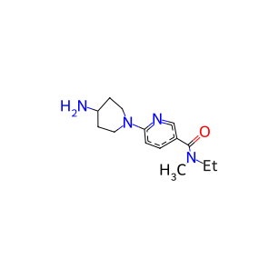 CCN(C)C(=O)c1ccc(N2CCC(N)CC2)nc1